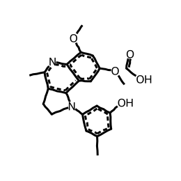 COc1cc(OC)c2nc(C)c3c(c2c1)N(c1cc(C)cc(O)c1)CC3.O=CO